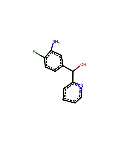 Nc1cc(C(O)c2ccccn2)ccc1F